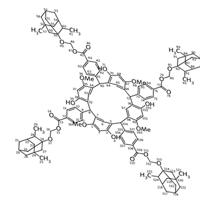 COc1cc(O)c2cc1C(c1ccc(C(=O)OCOC34CC5CC(CC(C)(C5)C3)C4C)cc1)c1cc(c(OC)cc1O)C(c1ccc(C(=O)OCOC34CC5CC(CC(C)(C5)C3)C4C)cc1)c1cc(c(OC)cc1O)C(c1ccc(C(=O)OCOC34CC5CC(CC(C)(C5)C3)C4C)cc1)c1cc(c(OC)cc1O)C2c1ccc(C(=O)OCOC23CC4CC(CC(C)(C4)C2)C3C)cc1